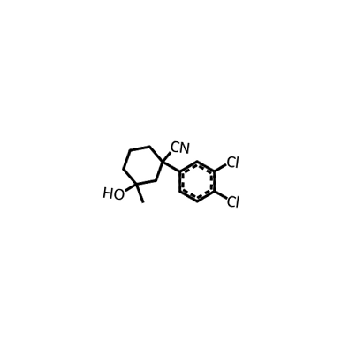 CC1(O)CCCC(C#N)(c2ccc(Cl)c(Cl)c2)C1